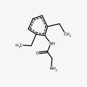 CCc1cccc(CC)c1NC(=O)CN